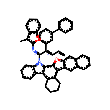 C=C/C=C(/C(=N\c1oc2ccccc2c1C)n1c2ccccc2c2c3c(c4c5cc6ccccc6cc5oc4c21)CCCC3)c1cccc(-c2ccccc2)c1